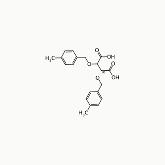 Cc1ccc(COC(C(=O)O)[C@@H](OCc2ccc(C)cc2)C(=O)O)cc1